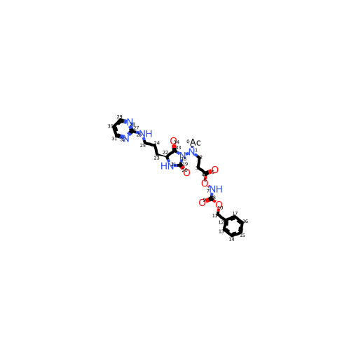 CC(=O)N(CCC(=O)ONC(=O)OCc1ccccc1)N1C(=O)N[C@@H](CCCNc2ncccn2)C1=O